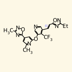 CCc1noc(/C=C/c2cncc(Oc3cc(-c4nc(C)no4)cc(C)n3)c2C(F)(F)F)n1